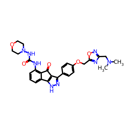 CN(C)Cc1noc(COc2ccc(-c3n[nH]c4c3C(=O)c3c(NC(=O)NN5CCOCC5)cccc3-4)cc2)n1